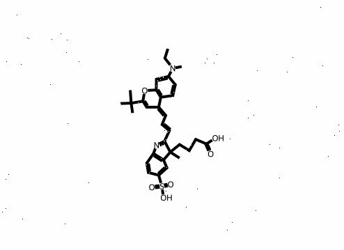 CCN(C)c1ccc2c(c1)OC(C(C)(C)C)=C/C2=C\C=C\C1=Nc2ccc(S(=O)(=O)O)cc2C1(C)CCCC(=O)O